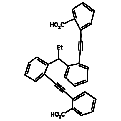 CCC(c1ccccc1C#Cc1ccccc1C(=O)O)c1ccccc1C#Cc1ccccc1C(=O)O